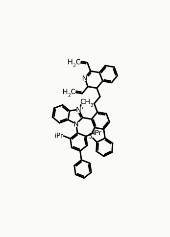 C=CC1=NC(C=C)C(CCc2ccc3c(sc4ccccc43)c2-c2n(-c3c(C(C)C)cc(-c4ccccc4)cc3C(C)C)c3ccccc3[n+]2C)c2ccccc21